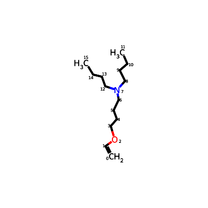 C=COCCCCN(CCCC)CCCC